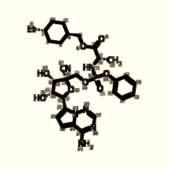 CC[C@H]1CC[C@H](COC(=O)[C@H](C)NP(=O)(OC[C@@]2(C#N)O[C@@H](c3ccc4c(N)ncnn34)[C@H](O)[C@@H]2O)Oc2ccccc2)CC1